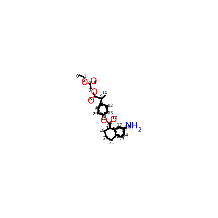 CCOC(=O)COC(=O)C(C)c1ccc(OC(=O)C2CCCc3ccc(N)cc32)cc1